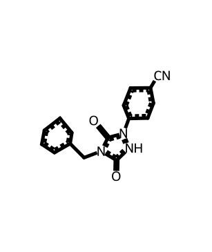 N#Cc1ccc(-n2[nH]c(=O)n(Cc3ccccc3)c2=O)cc1